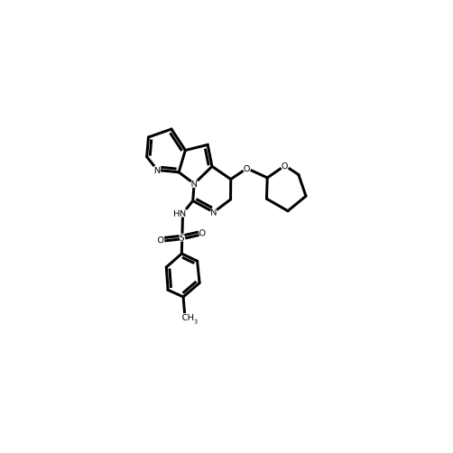 Cc1ccc(S(=O)(=O)NC2=NCC(OC3CCCCO3)c3cc4cccnc4n32)cc1